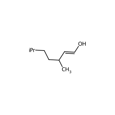 CC(C)CCC(C)C=CO